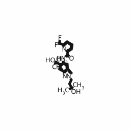 CC(C)(O)CCn1cc2cc(NC(=O)c3cccc(C(F)F)n3)c(C(C)(C)O)cc2n1